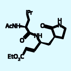 CCOC(=O)/C=C/[C@H](C[C@@H]1CCNC1=O)NC(=O)[C@H](CC(C)C)NC(C)=O